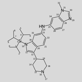 CC(C)[Si](C(C)C)(C(C)C)n1cc(C2CCN(C)CC2)c2ccc(Nc3ccc4ncn(C)c4c3)cc21